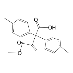 C=C(C(=O)OC)C(C(=O)O)(c1ccc(C)cc1)c1ccc(C)cc1